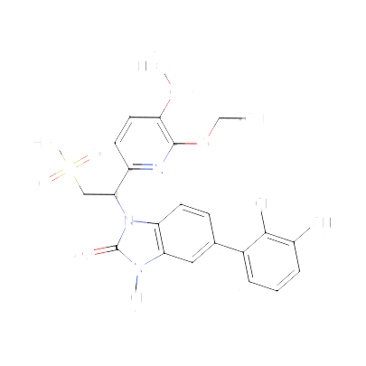 CCOc1nc(C(CS(C)(=O)=O)n2c(=O)n(C)c3cc(-c4cccc(C)c4C)ccc32)ccc1OC